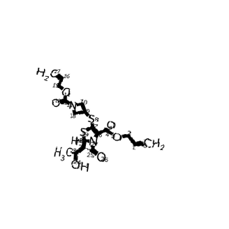 C=CCOC(=O)C1=C(SC2CN(C(=O)OCC=C)C2)S[C@@H]2[C@@H]([C@@H](C)O)C(=O)N12